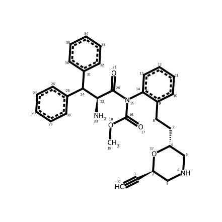 C#C[C@@H]1CNC[C@@H](CCc2ccccc2N(C(=O)OC)C(=O)[C@@H](N)C(c2ccccc2)c2ccccc2)O1